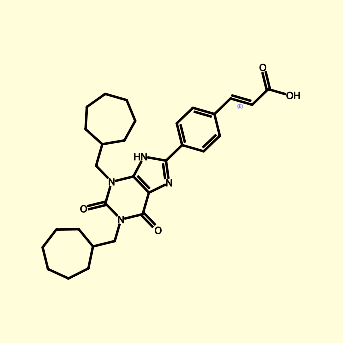 O=C(O)/C=C/c1ccc(-c2nc3c(=O)n(CC4CCCCCC4)c(=O)n(CC4CCCCCC4)c3[nH]2)cc1